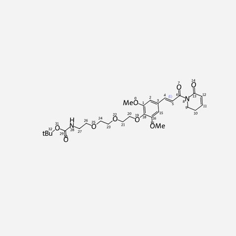 COc1cc(/C=C/C(=O)N2CCC=CC2=O)cc(OC)c1OCCOCCOCCNC(=O)OC(C)(C)C